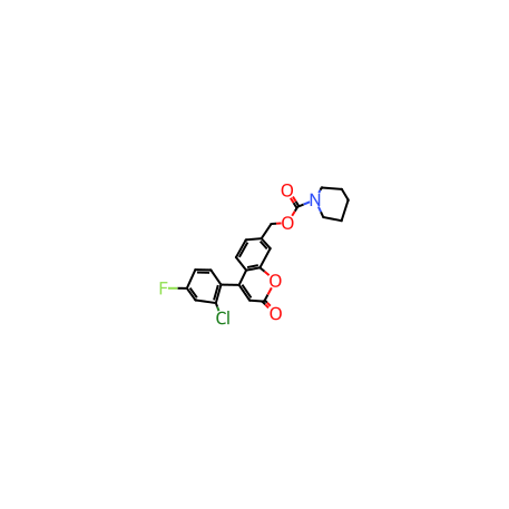 O=C(OCc1ccc2c(-c3ccc(F)cc3Cl)cc(=O)oc2c1)N1CCCCC1